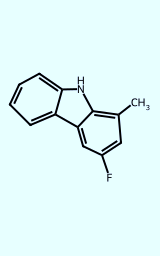 Cc1cc(F)cc2c1[nH]c1ccccc12